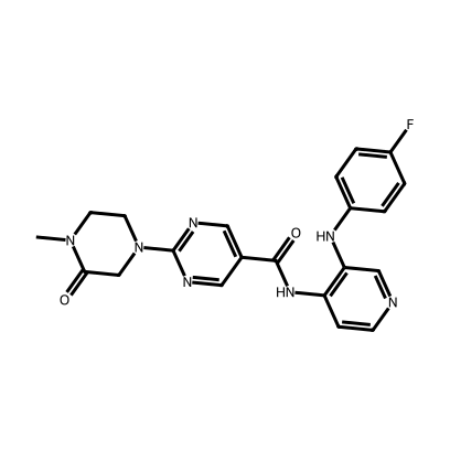 CN1CCN(c2ncc(C(=O)Nc3ccncc3Nc3ccc(F)cc3)cn2)CC1=O